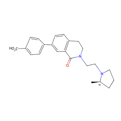 C[C@@H]1CCCN1CCN1CCc2ccc(-c3ccc(C(=O)O)cc3)cc2C1=O